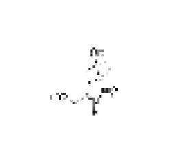 CC(C)(O)[C@]1(F)C[C@@H](CO)NC1=O